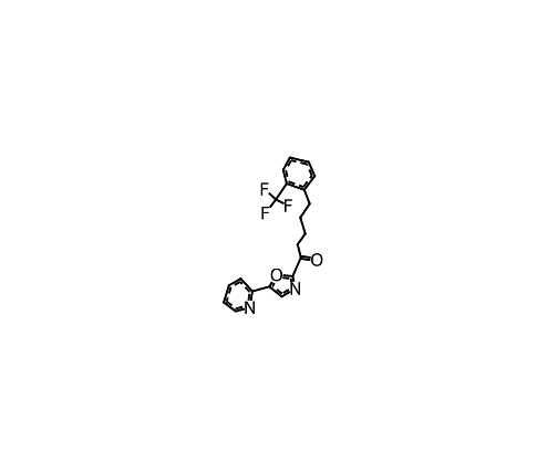 O=C(CCCCc1ccccc1C(F)(F)F)c1ncc(-c2ccccn2)o1